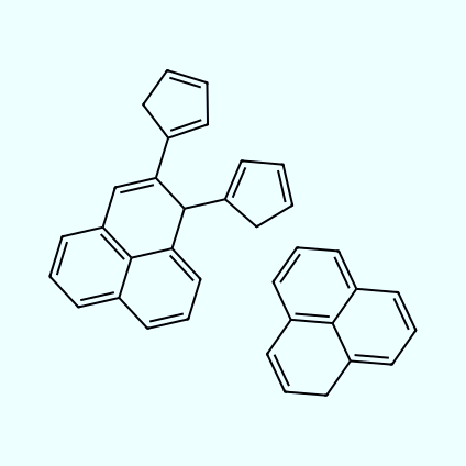 C1=CCC(C2=Cc3cccc4cccc(c34)C2C2=CC=CC2)=C1.C1=Cc2cccc3cccc(c23)C1